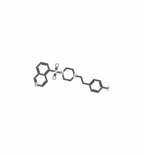 O=S(=O)(c1cccc2cnccc12)N1CCN(CCc2ccc(F)cc2)CC1